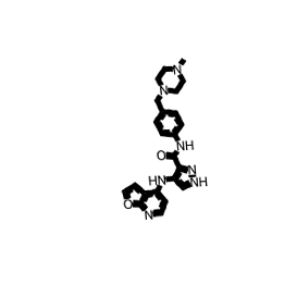 CN1CCN(Cc2ccc(NC(=O)c3n[nH]cc3Nc3ccnc4occc34)cc2)CC1